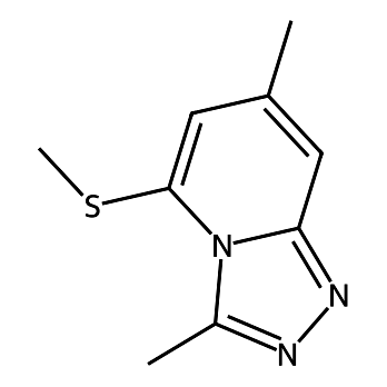 CSc1cc(C)cc2nnc(C)n12